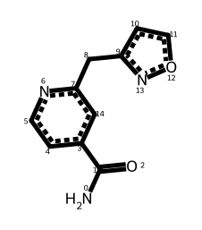 NC(=O)c1ccnc(Cc2ccon2)c1